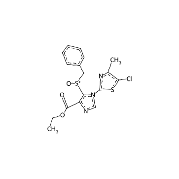 CCOC(=O)c1ncn(-c2nc(C)c(Cl)s2)c1[S+]([O-])Cc1ccccc1